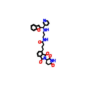 O=C(CCCc1cccc2c1C(=O)N(C1CCC(=O)NC1=O)C2=O)NCCCNC(c1cccnc1)c1cc2ccccc2o1